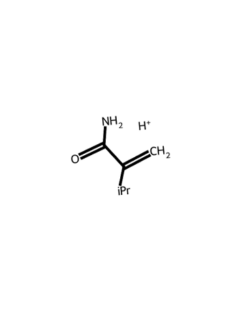 C=C(C(N)=O)C(C)C.[H+]